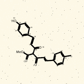 COC(=O)C(C(=O)/C=C/c1ccc(C)cc1)C(=O)/C=C/c1ccc(O)cc1